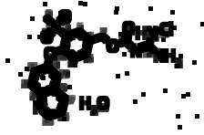 CS(=O)(=O)c1cc(COC(=O)N=C(N)NCl)ccc1Oc1ccc2ncccc2c1.O